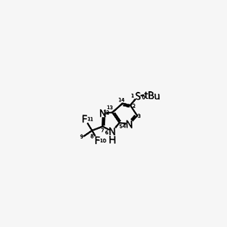 CC(C)(C)Sc1cnc2[nH]c(C(C)(F)F)nc2c1